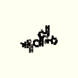 Cc1ccccc1C(=O)c1c[nH]c2ncnc(N[C@H]3CC[C@@H](NC(=O)OC(C)(C)C)CC3)c12